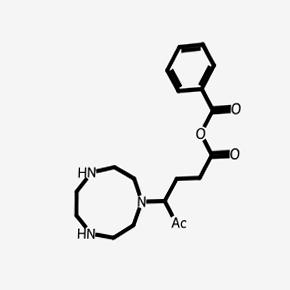 CC(=O)C(CCC(=O)OC(=O)c1ccccc1)N1CCNCCNCC1